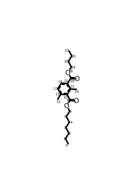 CCCCCCCOC(=O)c1c(C)ccc(C(=O)OCCCC)c1C